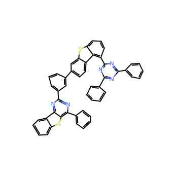 c1ccc(-c2nc(-c3ccccc3)nc(-c3cccc4sc5cc(-c6cccc(-c7nc(-c8ccccc8)c8sc9ccccc9c8n7)c6)ccc5c34)n2)cc1